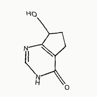 O=c1[nH]cnc2c1CCC2O